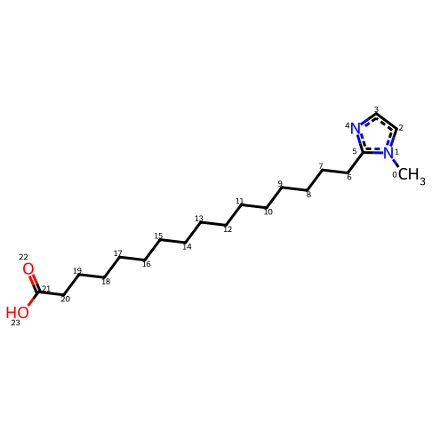 Cn1ccnc1CCCCCCCCCCCCCCCC(=O)O